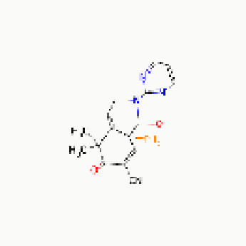 CC1(C)C(=O)C(C#N)=C[C@@]2(P)C(=O)N(c3ncccn3)CC=C12